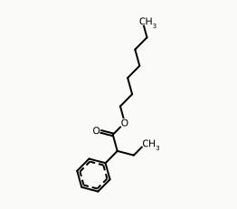 CCCCCCCOC(=O)C(CC)c1ccccc1